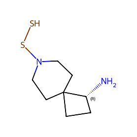 N[C@@H]1CCC12CCN(SS)CC2